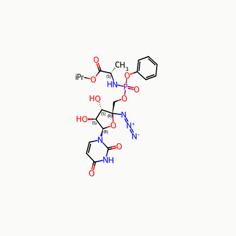 CC(C)OC(=O)[C@H](C)NP(=O)(OC[C@@]1(N=[N+]=[N-])O[C@@H](n2ccc(=O)[nH]c2=O)[C@@H](O)[C@@H]1O)Oc1ccccc1